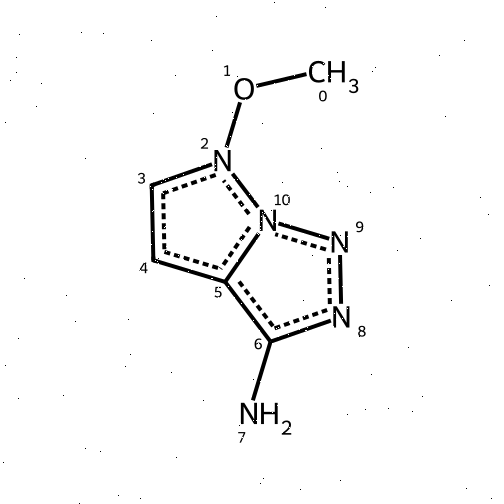 COn1ccc2c(N)nnn21